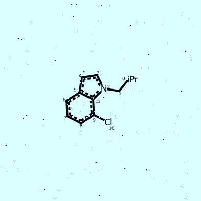 CC(C)Cn1ccc2cccc(Cl)c21